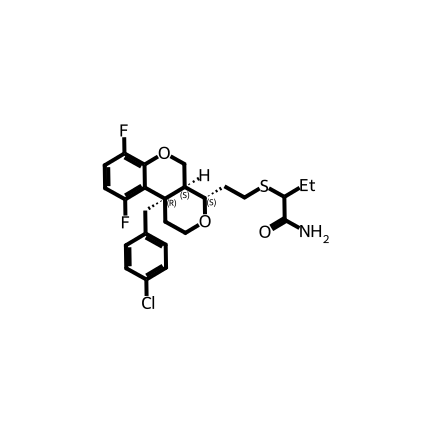 CCC(SCC[C@@H]1OCC[C@@]2(Cc3ccc(Cl)cc3)c3c(F)ccc(F)c3OC[C@@H]12)C(N)=O